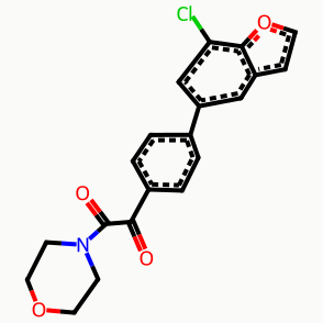 O=C(C(=O)N1CCOCC1)c1ccc(-c2cc(Cl)c3occc3c2)cc1